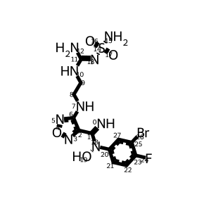 N=C(c1nonc1NCCNC(N)=NS(N)(=O)=O)N(O)c1ccc(F)c(Br)c1